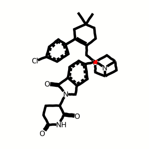 CC1(C)CCC(CN2CC3CC(C2)N3Cc2ccc3c(c2)CN(C2CCC(=O)NC2=O)C3=O)=C(c2ccc(Cl)cc2)C1